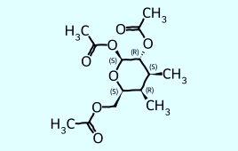 CC(=O)OC[C@H]1O[C@@H](OC(C)=O)[C@H](OC(C)=O)[C@@H](C)[C@H]1C